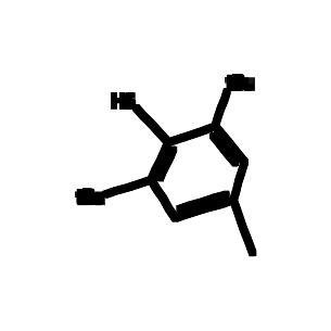 Cc1cc(C(C)(C)C)c(S)c(C(C)(C)C)c1